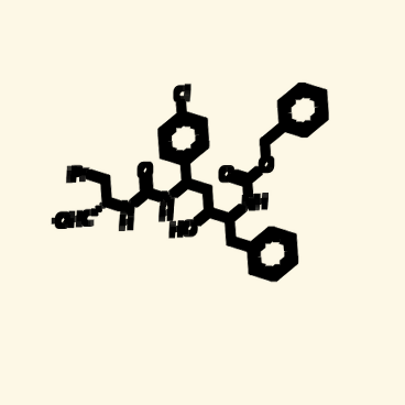 CC(C)C[C@@H]([C]=O)NC(=O)NC(CC(O)C(Cc1ccccc1)NC(=O)OCc1ccccc1)c1ccc(Cl)cc1